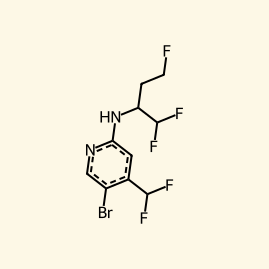 FCCC(Nc1cc(C(F)F)c(Br)cn1)C(F)F